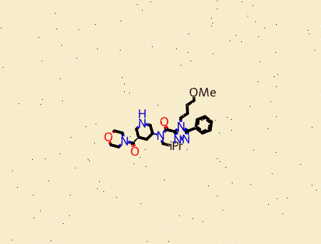 COCCCCn1c(C(=O)N(CC(C)C)[C@@H]2CNC[C@H](C(=O)N3CCOCC3)C2)nnc1-c1ccccc1